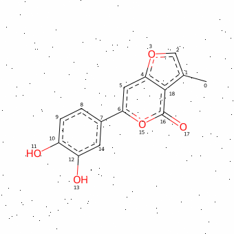 Cc1coc2cc(-c3ccc(O)c(O)c3)oc(=O)c12